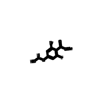 COC(=O)c1c(F)cc(OBO)cc1Br